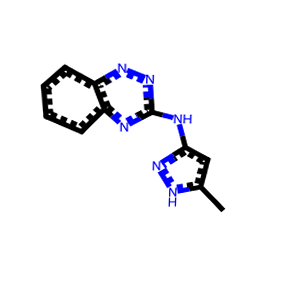 Cc1cc(Nc2nnc3ccccc3n2)n[nH]1